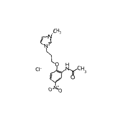 CC(=O)Nc1cc([N+](=O)[O-])ccc1OCCC[n+]1ccn(C)c1.[Cl-]